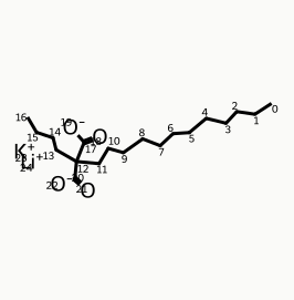 CCCCCCCCCCCCC(CCCC)(C(=O)[O-])C(=O)[O-].[K+].[Li+]